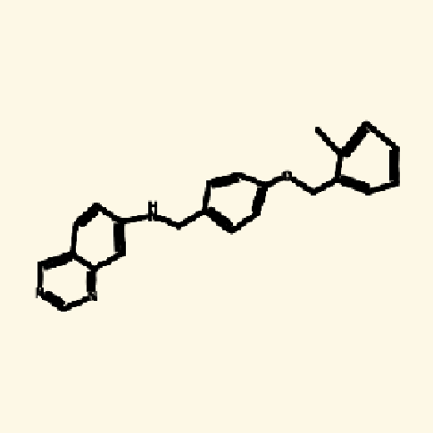 Cc1ccccc1COc1ccc(CNc2ccc3cncnc3c2)cc1